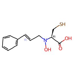 O=C(O)[C@H](CS)N(O)C/C=C/c1ccccc1